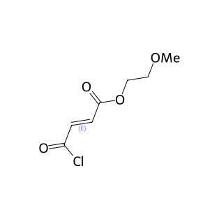 COCCOC(=O)/C=C/C(=O)Cl